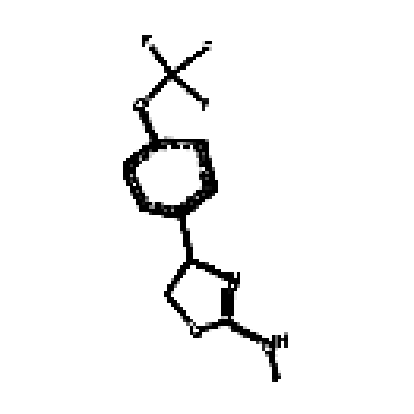 CNC1=NC(c2ccc(OC(F)(F)F)cc2)CO1